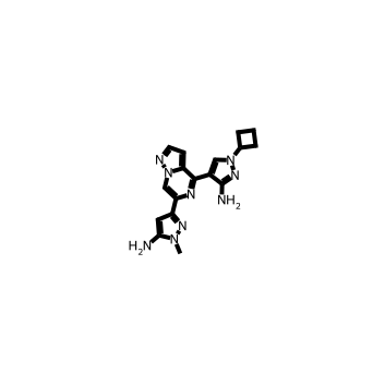 Cn1nc(-c2cn3nccc3c(-c3cn(C4CCC4)nc3N)n2)cc1N